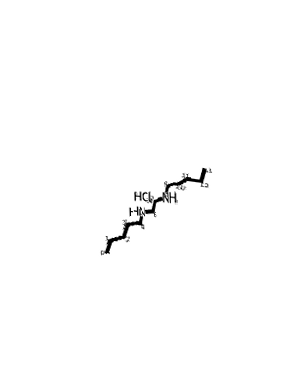 CCCCCNCCNCCCCC.Cl